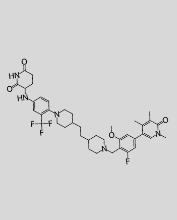 COc1cc(-c2cn(C)c(=O)c(C)c2C)cc(F)c1CN1CCC(CCC2CCN(c3ccc(NC4CCC(=O)NC4=O)cc3C(F)(F)F)CC2)CC1